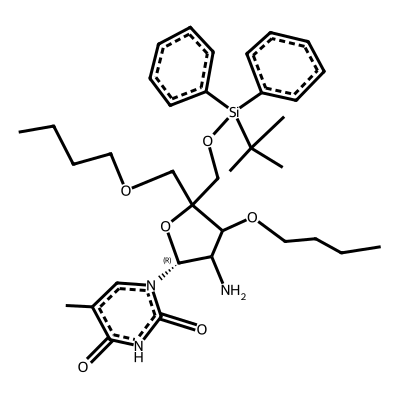 CCCCOCC1(CO[Si](c2ccccc2)(c2ccccc2)C(C)(C)C)O[C@@H](n2cc(C)c(=O)[nH]c2=O)C(N)C1OCCCC